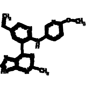 C=Cc1cnc(Nc2ccc(OC)nc2)c(-c2nc(C)nc3[nH]cnc23)c1